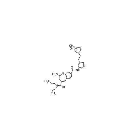 CCCN(CCC)C(O)C1=Cc2ccc(C(=O)Nc3cncc(CCc4cccc(OC)c4)c3)cc2N=C(N)C1